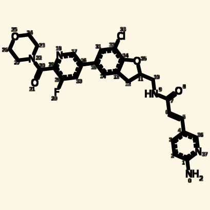 Nc1ccc(C=CC(=O)NCC2Cc3cc(-c4cnc(C(=O)N5CCOCC5)c(F)c4)cc(Cl)c3O2)cn1